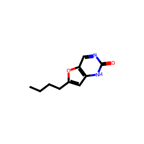 CCCCc1cc2[nH]c(=O)ncc2o1